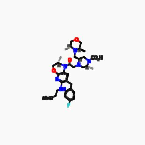 COCCNc1nc2c(cc1Cc1ccc(F)cc1)N(C(=O)CN1C[C@@H](C)N(C(=O)O)C[C@@H]1CN1[C@H](C)COC[C@H]1C)[C@@H](C)CO2